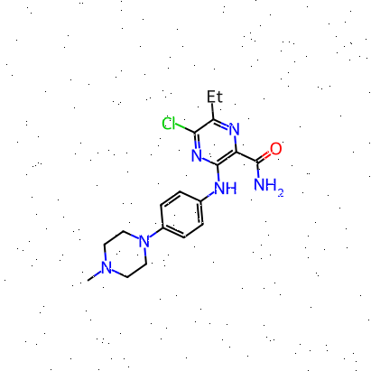 CCc1nc(C(N)=O)c(Nc2ccc(N3CCN(C)CC3)cc2)nc1Cl